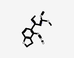 C=N/C(=C\C(=C/C)c1ccc2c(c1N=C=O)CCO2)OC